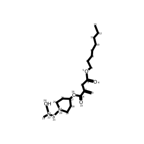 C=C(CC(=O)OCCCCCCCC)C(=O)OC1CCN(SN(C)O)CC1